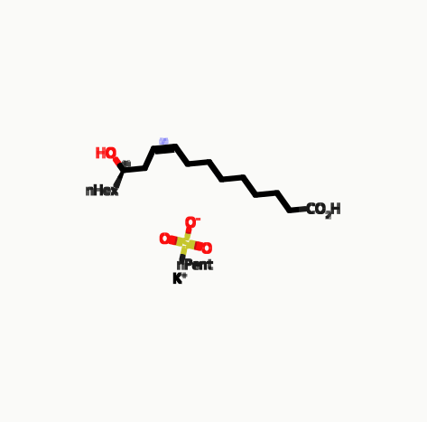 CCCCCC[C@@H](O)C/C=C\CCCCCCCC(=O)O.CCCCCS(=O)(=O)[O-].[K+]